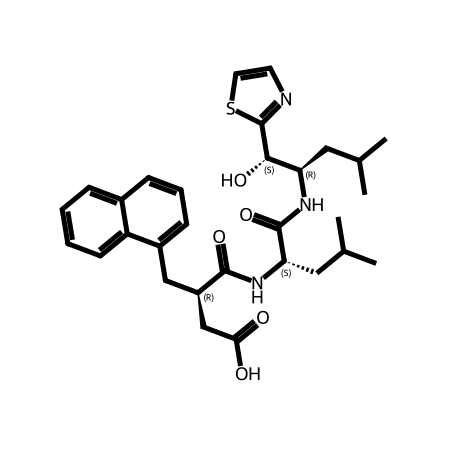 CC(C)C[C@H](NC(=O)[C@@H](CC(=O)O)Cc1cccc2ccccc12)C(=O)N[C@H](CC(C)C)[C@H](O)c1nccs1